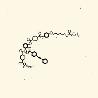 C=CC(=O)OCCCCCCOc1ccc(OC(=O)C2CCC(C(=O)Oc3cccc(OC(=O)C4CCC(C(=O)OCCCCC)CC4)c3OC(=O)c3ccc(C#Cc4ccccc4)cc3)CC2)cc1